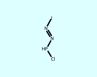 ClPN=NI